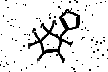 FC1=C(F)C(F)(c2ccoc2)C(F)(F)C1(F)F